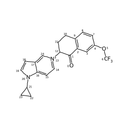 O=C1c2cc(OC(F)(F)F)ccc2CCC1[n+]1ccc2c(ccn2C2CC2)c1